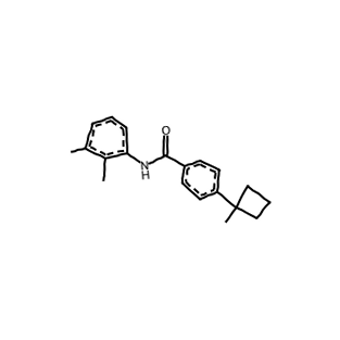 Cc1cccc(NC(=O)c2ccc(C3(C)CCC3)cc2)c1C